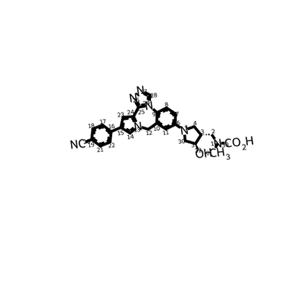 CN(C[C@H]1CN(c2ccc3c(c2)Cn2cc(-c4ccc(C#N)cc4)cc2-c2nncn2-3)C[C@@H]1O)C(=O)O